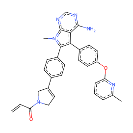 C=CC(=O)N1CC=C(c2ccc(-c3c(-c4ccc(Oc5cccc(C)n5)cc4)c4c(N)ncnc4n3C)cc2)C1